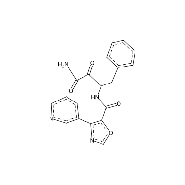 NC(=O)C(=O)C(Cc1ccccc1)NC(=O)c1ocnc1-c1cccnc1